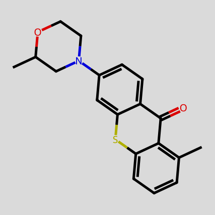 Cc1cccc2sc3cc(N4CCOC(C)C4)ccc3c(=O)c12